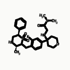 C[C@@H]1NC[C@@H](c2ccccc2)S(=O)(=O)C1Cc1ccc(C2(NCC(=O)N(C)C)CCOCC2)cc1F